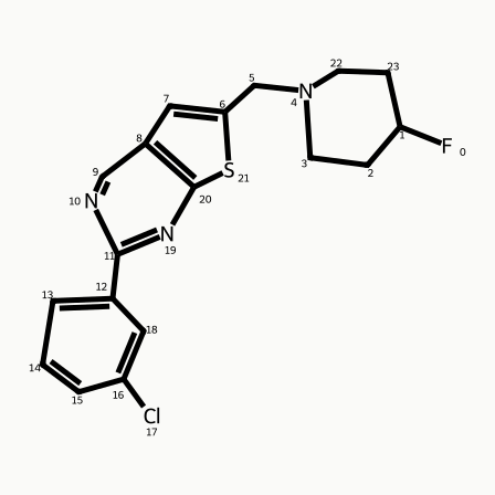 FC1CCN(Cc2cc3cnc(-c4cccc(Cl)c4)nc3s2)CC1